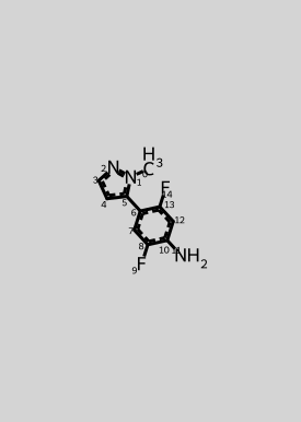 Cn1nccc1-c1cc(F)c(N)cc1F